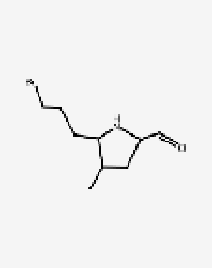 CC1CC(C=O)NC1CCCBr